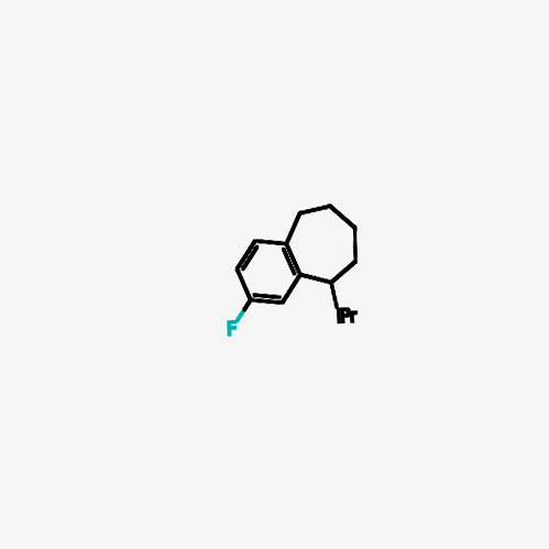 CC(C)C1CCCCc2ccc(F)cc21